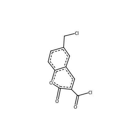 O=C(Cl)c1cc2cc(CCl)ccc2oc1=O